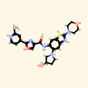 Cc1cc(-c2nc(C(=O)Nc3cc4sc(N5CCOCC5)nc4cc3N3CCC(O)C3)co2)ccn1